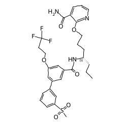 CCC[C@@H](CCCOc1ncccc1C(N)=O)NC(=O)c1cc(OCCC(F)(F)F)cc(-c2cccc(S(C)(=O)=O)c2)c1